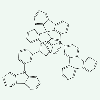 c1cc(-c2ccc(N(c3ccc4c5ccccc5c5ccccc5c4c3)c3cccc4c3C3(c5ccccc5-c5ccccc53)c3ccccc3-4)cc2)cc(-n2c3ccccc3c3ccccc32)c1